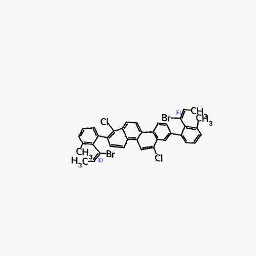 C/C=C(/Br)c1c(C)cccc1-c1ccc2c(c1)c(Cl)cc1c3ccc(-c4cccc(C)c4/C(Br)=C\C)c(Cl)c3ccc21